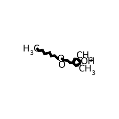 CCCCCCCCOC(=O)CCc1cc(C)c(O)c(C)c1